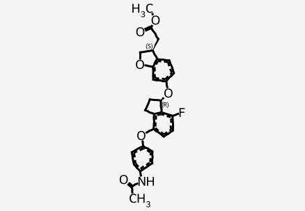 COC(=O)C[C@@H]1COc2cc(O[C@@H]3CCc4c(Oc5ccc(NC(C)=O)cc5)ccc(F)c43)ccc21